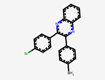 Bc1ccc(-c2nc3ccccc3nc2-c2ccc(Br)cc2)cc1